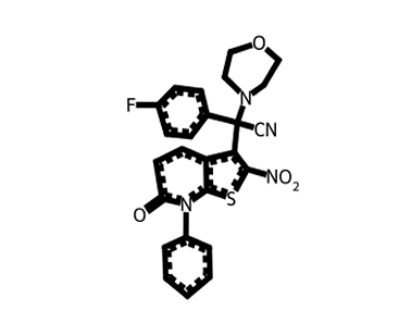 N#CC(c1ccc(F)cc1)(c1c([N+](=O)[O-])sc2c1ccc(=O)n2-c1ccccc1)N1CCOCC1